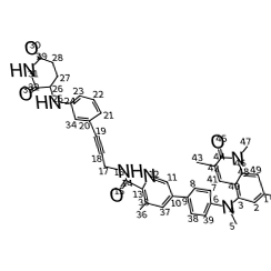 CCc1cc(N(C)c2ccc(-c3cnc(C(=O)NCC#Cc4cccc(NC5CCC(=O)NC5=O)c4)c(C)c3)cc2)c2cc(C)c(=O)n(C)c2c1